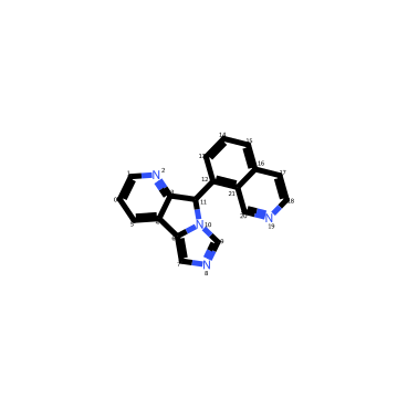 c1cnc2c(c1)-c1cncn1C2c1cccc2ccncc12